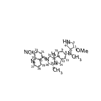 CO[C@H]1CNC[C@@H]1N(C)c1ccc2c(c1)CN1[C@H](C)CN(c3ccc(C#N)c4ncccc34)C[C@H]21